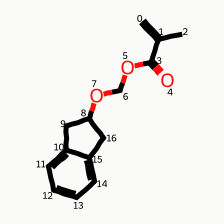 C=C(C)C(=O)OCOC1Cc2ccccc2C1